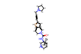 O=C(N[C@H]1CN2CCC1CC2)N1C=c2cc(C#CCN3CCCC3)sc2=CC1